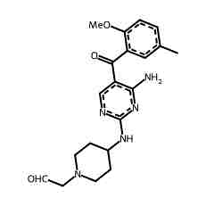 COc1ccc(C)cc1C(=O)c1cnc(NC2CCN(CC=O)CC2)nc1N